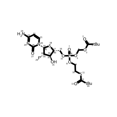 CC(C)(C)C(=O)OCOP(=O)(OCCSC(=O)C(C)(C)C)OC[C@H]1S[C@@H](n2ccc(N)nc2=O)[C@@H](F)[C@@H]1O